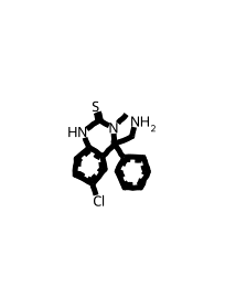 CN1C(=S)Nc2ccc(Cl)cc2C1(CN)c1ccccc1